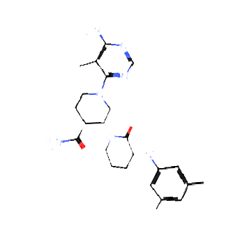 Cc1cc(N[C@@H]2CCCN([C@H]3CN(c4ncnc(N)c4C)CC[C@@H]3C(N)=O)C2=O)cc(C(F)(F)F)c1